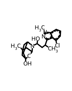 CC(CC(O)N1C2CC3(C)CC1CC(O)(C2)C3)c1nn(C)c2cccc(Cl)c12